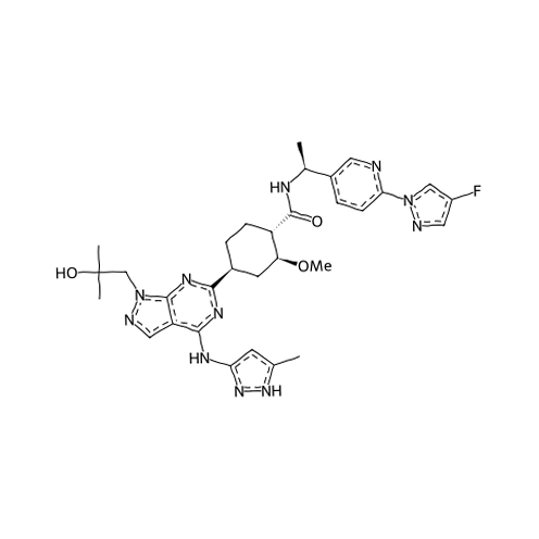 CO[C@H]1C[C@@H](c2nc(Nc3cc(C)[nH]n3)c3cnn(CC(C)(C)O)c3n2)CC[C@@H]1C(=O)N[C@@H](C)c1ccc(-n2cc(F)cn2)nc1